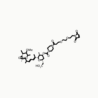 COC(C(C)O)C(C)[C@H]1O[C@]1(C)CC(C)/C=C/C=C(\C)[C@H]1O[C@@H](CC(=O)O)C[C@@H](OC(=O)N2CCN(C(=O)CCOCCOCCN3C(=O)C=CC3=O)CC2)[C@@H]1C